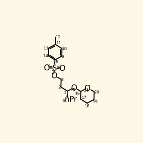 CCC[C@@H](CCOS(=O)(=O)c1ccc(C)cc1)OC1CCCCO1